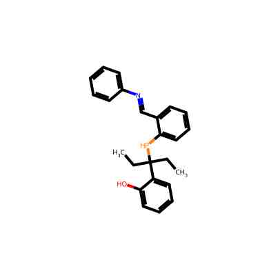 CCC(CC)(Pc1ccccc1/C=N/c1ccccc1)c1ccccc1O